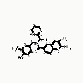 Cc1cc2cc(C(=O)N(Cc3ccc(Br)c(C)n3)C(C)c3ncccn3)ccc2nc1N